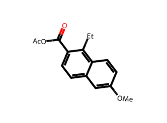 CCc1c(C(=O)OC(C)=O)ccc2cc(OC)ccc12